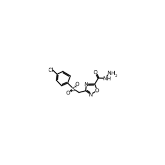 NNC(=O)c1nc(CS(=O)(=O)c2ccc(Cl)cc2)no1